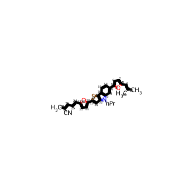 CCCn1c2cc(-c3ccc(C=C(C)C)o3)ccc2c2sc(-c3ccc(/C=C/C=C(/C)C#N)o3)cc21